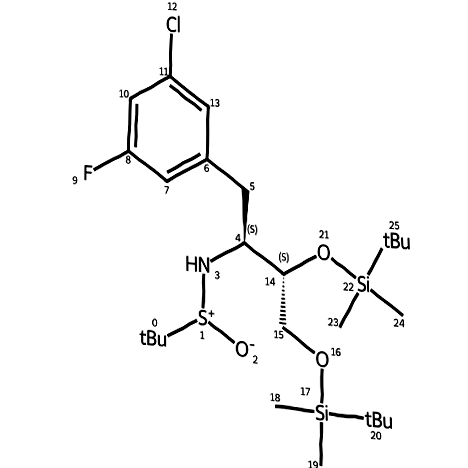 CC(C)(C)[S+]([O-])N[C@@H](Cc1cc(F)cc(Cl)c1)[C@@H](CO[Si](C)(C)C(C)(C)C)O[Si](C)(C)C(C)(C)C